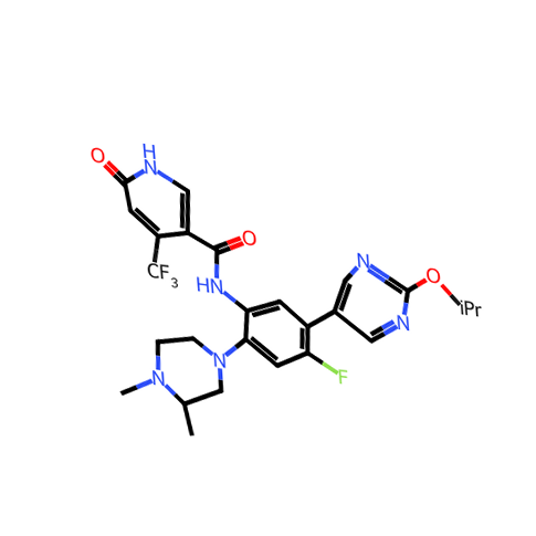 CC(C)Oc1ncc(-c2cc(NC(=O)c3c[nH]c(=O)cc3C(F)(F)F)c(N3CCN(C)C(C)C3)cc2F)cn1